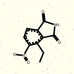 CCc1c([N+](=O)[O-])ccc2c1C(=O)NC2=O